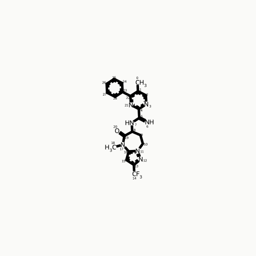 Cc1cnc(C(=N)NC2CCn3nc(C(F)(F)F)cc3N(C)C2=O)nc1-c1ccccc1